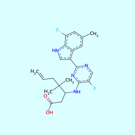 C=CCC(C)(C)C(CC(=O)O)Nc1nc(-c2c[nH]c3c(F)cc(C)cc23)ncc1F